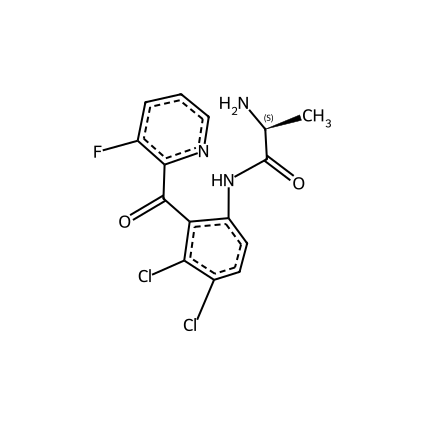 C[C@H](N)C(=O)Nc1ccc(Cl)c(Cl)c1C(=O)c1ncccc1F